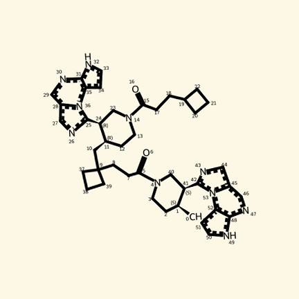 C[C@H]1CCN(C(=O)CCC2(C[C@@H]3CCN(C(=O)CCC4CCC4)C[C@@H]3c3ncc4cnc5[nH]ccc5n34)CCC2)C[C@H]1c1ncc2cnc3[nH]ccc3n12